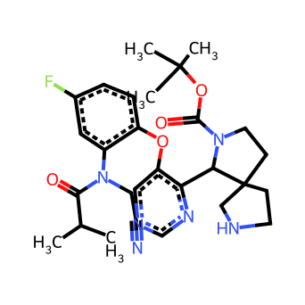 CC(C)C(=O)N(CC#N)c1cc(F)ccc1Oc1cncnc1C1N(C(=O)OC(C)(C)C)CCC12CCNC2